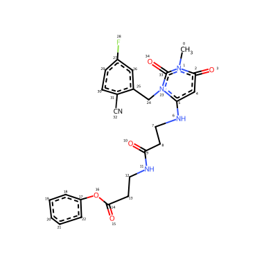 Cn1c(=O)cc(NCCC(=O)NCCC(=O)Oc2ccccc2)n(Cc2cc(F)ccc2C#N)c1=O